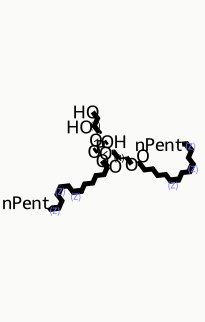 CCCCC/C=C\C/C=C\C/C=C\CCCCC(=O)OC[C@H](COP(=O)(O)OC[C@@H](O)CO)OC(=O)CCCC/C=C\C/C=C\C/C=C\CCCCC